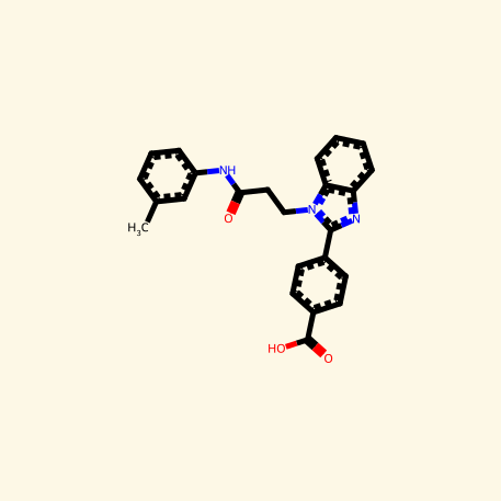 Cc1cccc(NC(=O)CCn2c(-c3ccc(C(=O)O)cc3)nc3ccccc32)c1